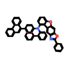 c1ccc(-c2nc3cc4c(cc3o2)oc2cccc(N(c3ccc(-c5cc6ccccc6c6ccccc56)cc3)c3ccccc3-c3ccccc3)c24)cc1